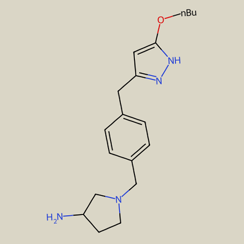 CCCCOc1cc(Cc2ccc(CN3CCC(N)C3)cc2)n[nH]1